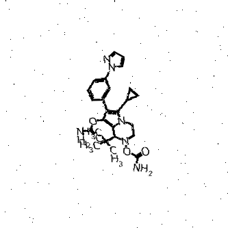 CC(C)(C)C1c2c(OC(N)=O)c(-c3cccc(-n4cccn4)c3)c(C3CC3)n2CCN1OC(N)=O